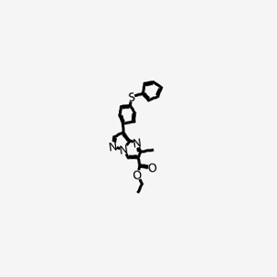 CCOC(=O)c1cn2ncc(-c3ccc(Sc4ccccc4)cc3)c2nc1C